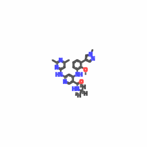 [2H]C([2H])([2H])NC(=O)c1cnc(Nc2cc(C)nc(C)n2)cc1Nc1cccc(-c2cnn(C)c2)c1OC